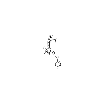 Cc1ccc(C2=C(COc3cc(NCc4cnn(C)c4N(C)C)c(=O)n(C)n3)C2)nc1